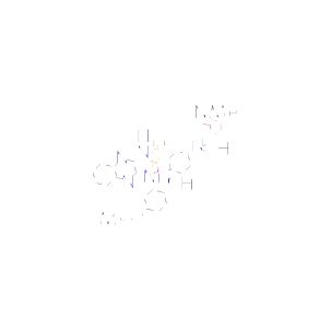 CNC(=O)CN(C)c1cccc(S(=O)(=O)Nc2nc3ccccc3nc2Nc2cc(OC)ccc2C)c1